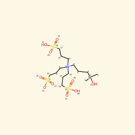 C[Si](C)(O)CCC[N+](CCCS(=O)(=O)[O-])(CCCS(=O)(=O)O)CCCS(=O)(=O)O